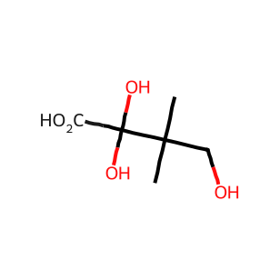 CC(C)(CO)C(O)(O)C(=O)O